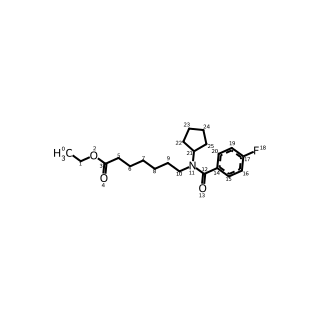 CCOC(=O)CCCCCCN(C(=O)c1ccc(F)cc1)C1CCCC1